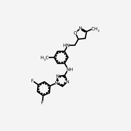 CC1=NOC(CNc2cc(C)cc(Nc3ncn(-c4cc(F)cc(F)c4)n3)c2)C1